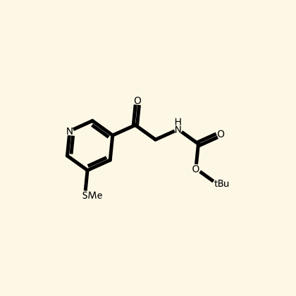 CSc1cncc(C(=O)CNC(=O)OC(C)(C)C)c1